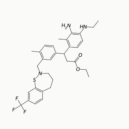 CCNc1ccc(C(CC(=O)OCC)c2ccc(C)c(CN3CCCc4ccc(C(F)(F)F)cc4S3)c2)c(C)c1N